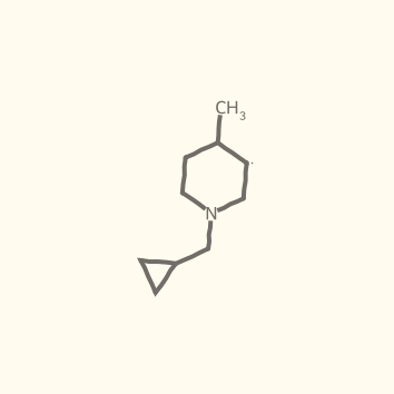 CC1[CH]CN(CC2CC2)CC1